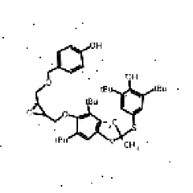 CC(C)(Sc1cc(C(C)(C)C)c(O)c(C(C)(C)C)c1)Sc1cc(C(C)(C)C)c(OCC2OC2COCc2ccc(O)cc2)c(C(C)(C)C)c1